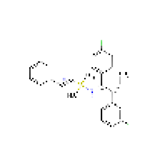 C=C[C@H](c1cccc(Cl)c1)[C@H](NS(C)(C)/C=C/c1ccccc1)c1ccc(Cl)cc1